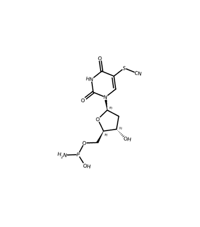 N#CSc1cn([C@H]2C[C@H](O)[C@@H](COP(N)O)O2)c(=O)[nH]c1=O